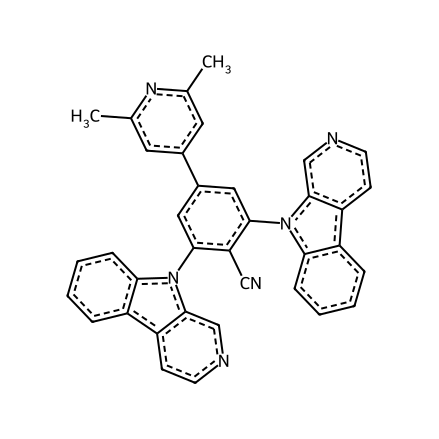 Cc1cc(-c2cc(-n3c4ccccc4c4ccncc43)c(C#N)c(-n3c4ccccc4c4ccncc43)c2)cc(C)n1